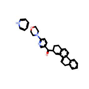 C1=CC=CNC=C1.O=C(c1ccc(N2CCOCC2)nc1)C1C=c2c(ccc3c2=CCc2ccccc2-3)CC1